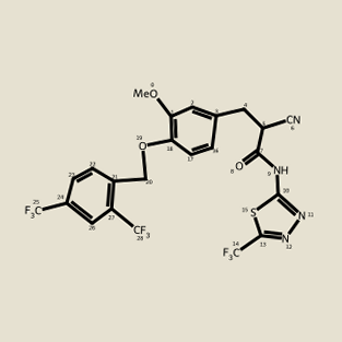 COc1cc(CC(C#N)C(=O)Nc2nnc(C(F)(F)F)s2)ccc1OCc1ccc(C(F)(F)F)cc1C(F)(F)F